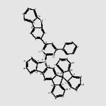 c1ccc(-c2cc(-c3ccc4c(c3)oc3ccccc34)nc(-n3c4ccccc4c4cc5c(cc43)C3(c4ccccc4-c4ccccc43)c3ccccc3-5)n2)cc1